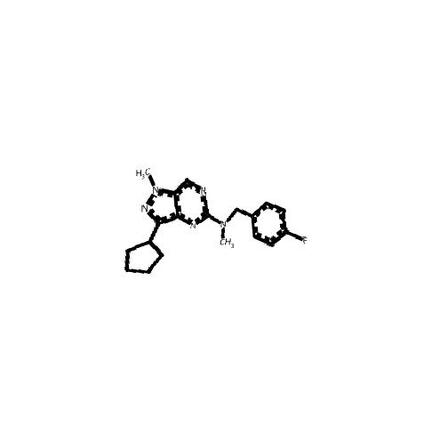 CN(Cc1ccc(F)cc1)c1ncc2c(n1)c(C1CCCC1)nn2C